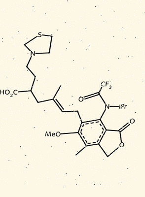 COc1c(C)c2c(c(N(C(=O)C(F)(F)F)C(C)C)c1C/C=C(\C)CC(CCN1CCSC1)C(=O)O)C(=O)OC2